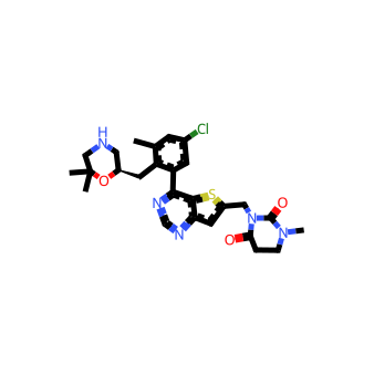 Cc1cc(Cl)cc(-c2ncnc3cc(CN4C(=O)CCN(C)C4=O)sc23)c1C[C@@H]1CNCC(C)(C)O1